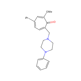 COc1cc(C(C)C)ccc(CN2CCN(c3ccccc3)CC2)c1=O